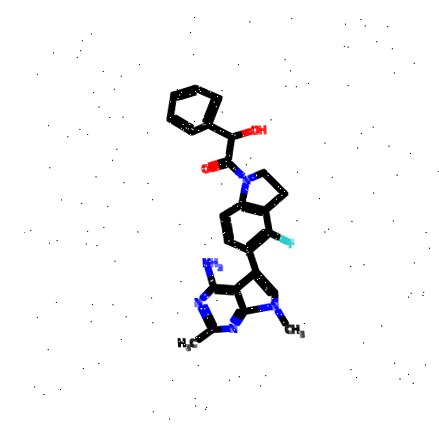 Cc1nc(N)c2c(-c3ccc4c(c3F)CCN4C(=O)C(O)c3ccccc3)cn(C)c2n1